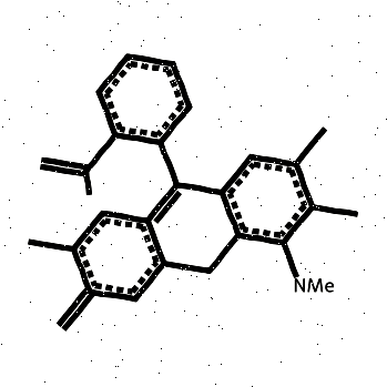 C=C(C)c1ccccc1C1=c2cc(C)c(=C)cc2Cc2c1cc(C)c(C)c2NC